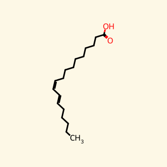 CCCCC/C=C/C=C\CCCCCCCCC(=O)O